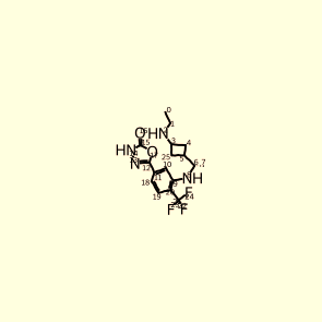 CCNC1CC([C@H](C)Nc2cc(-c3n[nH]c(=O)o3)ccc2C(F)(F)F)C1